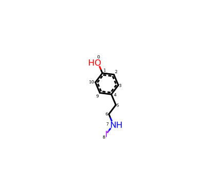 Oc1ccc(CCNI)cc1